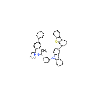 CCCC/C=C(\NC(C)c1cccc(-n2c3ccccc3c3cc(-c4cccc5c4sc4ccccc45)ccc32)c1)c1ccc(-c2ccccc2)cc1